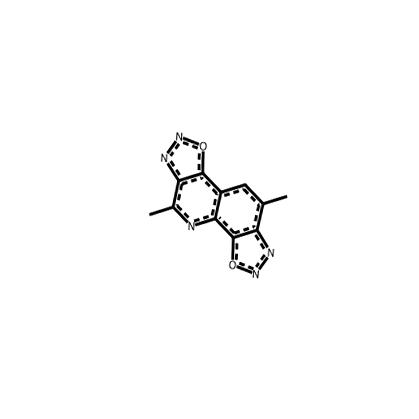 Cc1nc2c(cc(C)c3nnoc32)c2onnc12